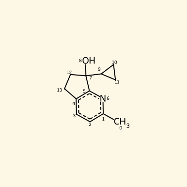 Cc1ccc2c(n1)C(O)(C1CC1)CC2